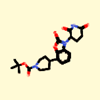 CC(C)(C)OC(=O)N1CCC(c2cccc3c2oc(=O)n3C2CCC(=O)NC2=O)CC1